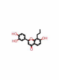 CCCc1c(O)ccc2c(=O)cc(-c3ccc(O)c(O)c3)oc12